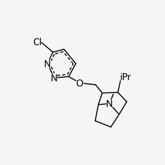 CC(C)C1CC2CCC(C1COc1ccc(Cl)nn1)N2C